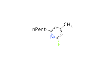 CCCCCc1cc(C)cc(F)n1